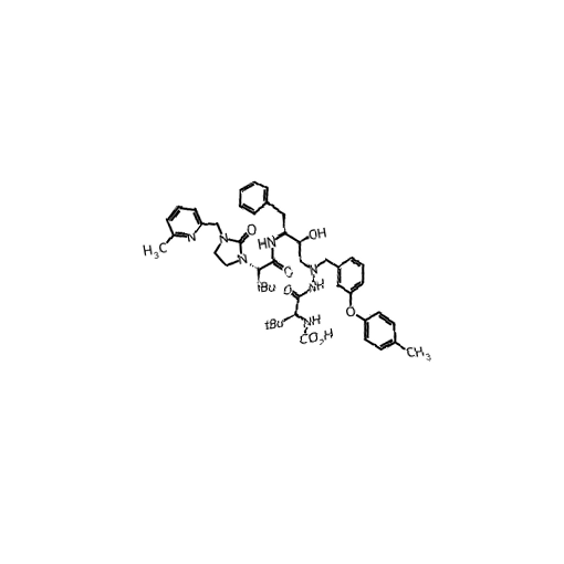 CC[C@H](C)[C@@H](C(=O)N[C@@H](Cc1ccccc1)[C@@H](O)CN(Cc1cccc(Oc2ccc(C)cc2)c1)NC(=O)[C@@H](NC(=O)O)C(C)(C)C)N1CCN(Cc2cccc(C)n2)C1=O